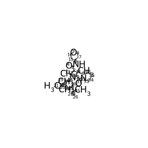 Cc1c(C(=O)NC2CCOCC2)c(Cl)n(-c2cc(C(C)(C)C)cc(C3(C)CC3)c2)c1C(=O)N1CCCCC1